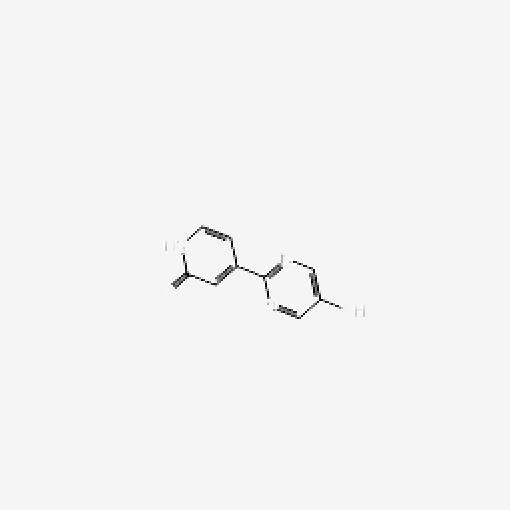 Cc1cnc(-c2cc[nH]c(=O)c2)nc1